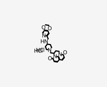 Cl.Cl.O=c1ccc2ccc(=O)n3c2n1CCC3CN1CCC(NCc2cc3c(cn2)OCCO3)CC1